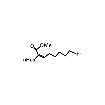 CCCCCCC(=CCCCCCC(C)C)C(=O)OC